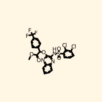 COC(=O)C(Oc1nc2ccccc2nc1NS(=O)(=O)c1cccc(Cl)c1Cl)c1ccc(C(F)(F)F)cc1